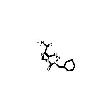 NC(=O)c1ncn2c(=O)n(CC3CCCCC3)nnc12